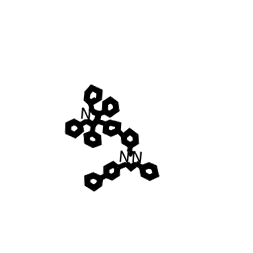 c1ccc(-c2ccc(-c3cc(-c4ccccc4)nc(-c4cccc(-c5ccc(-c6c(-c7ccccc7)c(-c7ccccc7)nc(-c7ccccc7)c6-c6ccccc6)cc5)c4)n3)cc2)cc1